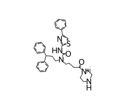 C[C@@H]1CNCCN1C(=O)CCCN(CCC(c1ccccc1)c1ccccc1)C(=O)Nc1nc(-c2ccccc2)cs1